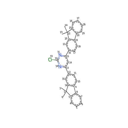 CC1(C)c2ccccc2-c2ccc(-c3cc(-c4ccc5c(c4)C(C)(C)c4ccccc4-5)nc(Cl)n3)cc21